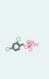 O=P(O)(O)OCc1ccc(Cl)cc1Cl